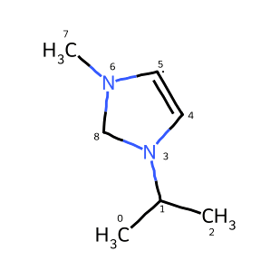 CC(C)N1C=[C]N(C)C1